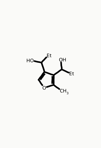 CCC(O)c1coc(C)c1C(O)CC